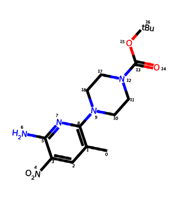 Cc1cc([N+](=O)[O-])c(N)nc1N1CCN(C(=O)OC(C)(C)C)CC1